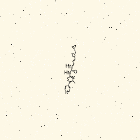 Cc1nc(NC(=O)NCCCOCC2CC2)sc1-c1ccncc1